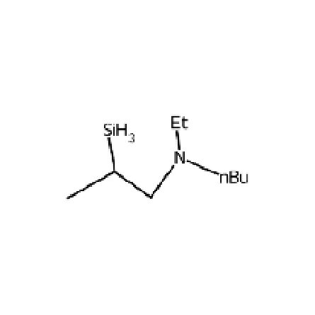 CCCCN(CC)CC(C)[SiH3]